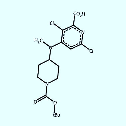 CN(c1cc(Cl)nc(C(=O)O)c1Cl)C1CCN(C(=O)OC(C)(C)C)CC1